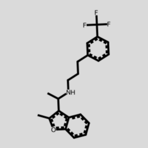 Cc1oc2ccccc2c1C(C)NCCCc1cccc(C(F)(F)F)c1